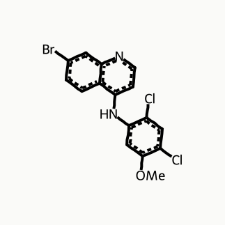 COc1cc(Nc2ccnc3cc(Br)ccc23)c(Cl)cc1Cl